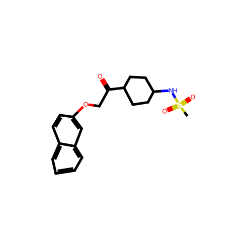 CS(=O)(=O)NC1CCC(C(=O)COc2ccc3ccccc3c2)CC1